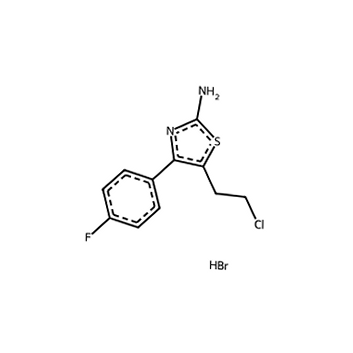 Br.Nc1nc(-c2ccc(F)cc2)c(CCCl)s1